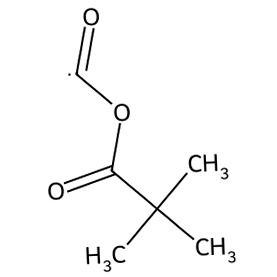 CC(C)(C)C(=O)O[C]=O